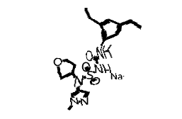 CCc1cc(CC)cc(NC(=O)NS(=O)(=O)N(c2cnn(C)c2)C2CCOCC2)c1.[Na]